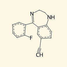 C#Cc1ccc2c(c1)C(c1ccccc1F)=NCCN2